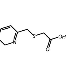 O=C(O)CSCC1=NCCC=C1